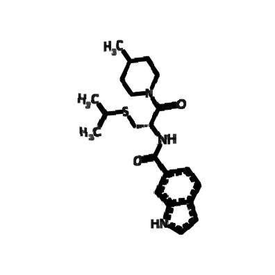 CC1CCN(C(=O)[C@@H](CSC(C)C)NC(=O)c2ccc3cc[nH]c3c2)CC1